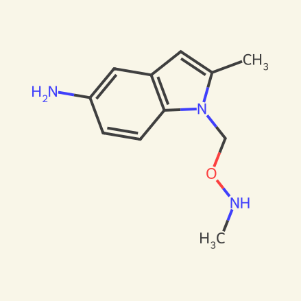 CNOCn1c(C)cc2cc(N)ccc21